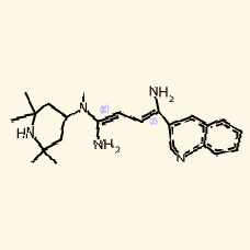 CN(/C(N)=C/C=C(\N)c1cnc2ccccc2c1)C1CC(C)(C)NC(C)(C)C1